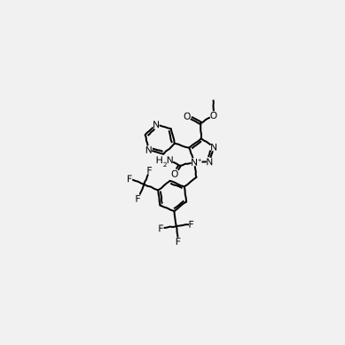 COC(=O)C1=C(c2cncnc2)[N+](Cc2cc(C(F)(F)F)cc(C(F)(F)F)c2)(C(N)=O)N=N1